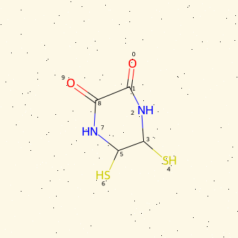 O=C1NC(S)C(S)NC1=O